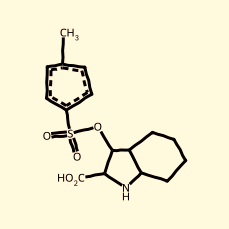 Cc1ccc(S(=O)(=O)OC2C(C(=O)O)NC3CCCCC32)cc1